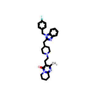 Cc1nc2n(c(=O)c1CCN1CCC(Cc3nc4ccccc4n3Cc3ccc(F)cc3)CC1)CCCC2